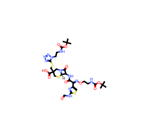 CC(C)(C)OC(=O)NCCON=C(C(=O)NC1C(=O)N2CC(CSc3nnnn3CCNC(=O)OC(C)(C)C)(C(=O)O)CS[C@H]12)c1csc(NC=O)n1